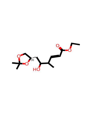 CCOC(=O)C=CC(C)C(O)C[C@H]1COC(C)(C)O1